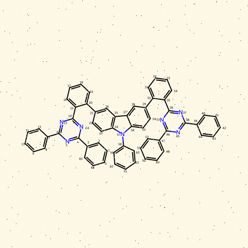 c1ccc(-c2nc(-c3ccccc3)nc(-c3ccccc3-c3ccc4c(c3)c3cc(-c5ccccc5-c5nc(-c6ccccc6)nc(-c6ccccc6)n5)ccc3n4-c3ccccc3)n2)cc1